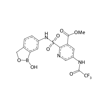 COC(=O)c1cc(NC(=O)C(F)(F)F)cnc1S(=O)(=O)Nc1ccc2c(c1)B(O)OC2